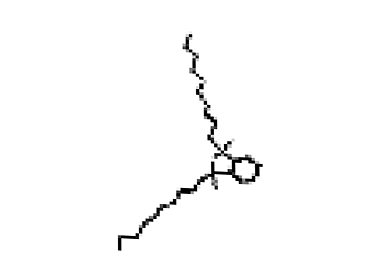 CCCCCCCC=CCC(C)(C)c1ccccc1C(C)(C)CC=CCCCCCCC